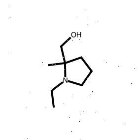 CCN1CCCC1(C)CO